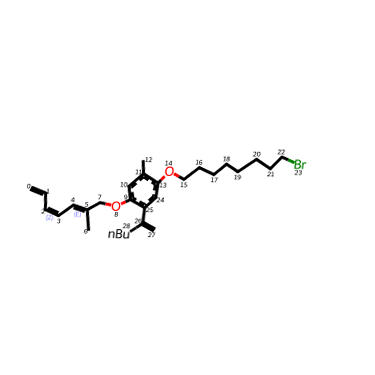 C=C/C=C\C=C(/C)COc1cc(C)c(OCCCCCCCCBr)cc1C(=C)CCCC